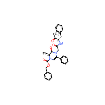 CC(C)[C@H]1C(=O)N(CC(=O)N[C@@H](Cc2ccccc2)C(=O)C(=O)O)C(c2ccccc2)=CN1C(=O)OCc1ccccc1